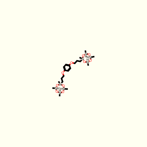 C[SiH]1O[SiH](C)O[Si](C)(CCCOc2ccc(OCCC[Si]3(C)O[SiH](C)O[SiH](C)O[SiH](C)O3)cc2)O[SiH](C)O1